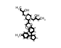 CCC(O)CN1CCN(CC(O)CC)C(C(CC)Oc2ccc(C3(c4ccc(C)cc4)CCCC3)cc2)C1